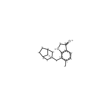 Cc1ccc2c(c1CN1CC3CCC(C3)C1)OCC2=O